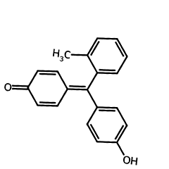 Cc1ccccc1C(=C1C=CC(=O)C=C1)c1ccc(O)cc1